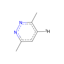 [2H]c1cc(C)nnc1C